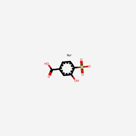 O=C(O)c1ccc(S(=O)(=O)[O-])c(O)c1.[Na+]